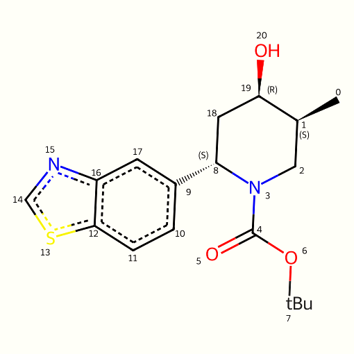 C[C@H]1CN(C(=O)OC(C)(C)C)[C@H](c2ccc3scnc3c2)C[C@H]1O